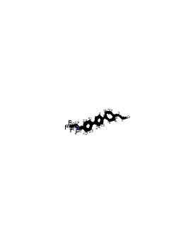 CCCC1CCC(c2ccc(-c3ccc(/C(F)=C/C(F)(F)F)cc3)cc2)CC1